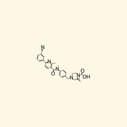 Cc1nc(-c2cccc(C#N)c2)ccc1C(=O)N(C)c1ccc(CN2CCN(C(=O)O)[C@@H](C)C2)cc1